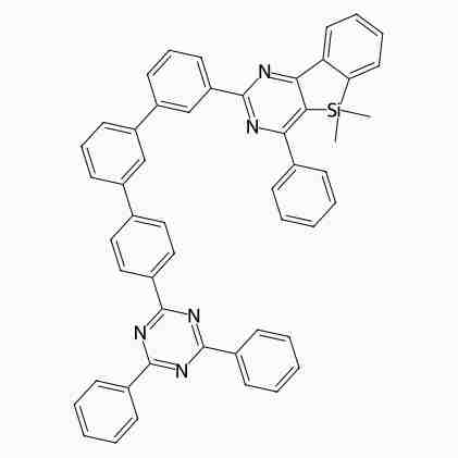 C[Si]1(C)c2ccccc2-c2nc(-c3cccc(-c4cccc(-c5ccc(-c6nc(-c7ccccc7)nc(-c7ccccc7)n6)cc5)c4)c3)nc(-c3ccccc3)c21